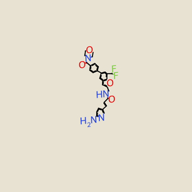 Nc1ccc(/C=C/C(=O)NCc2cc3cc(-c4ccc(C(=O)N5CCOCC5)cc4)cc(C(F)F)c3o2)cn1